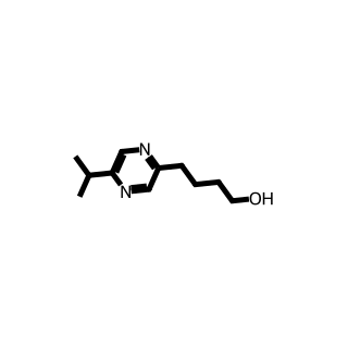 CC(C)c1cnc(CCCCO)cn1